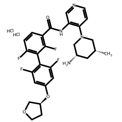 C[C@@H]1C[C@H](N)CN(c2ccncc2NC(=O)c2ccc(F)c(-c3c(F)cc(O[C@H]4CCOC4)cc3F)c2F)C1.Cl.Cl